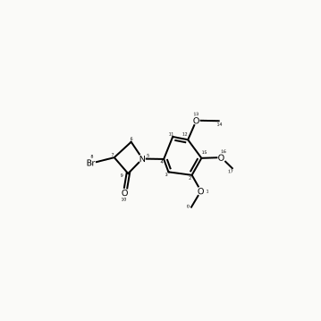 COc1cc(N2CC(Br)C2=O)cc(OC)c1OC